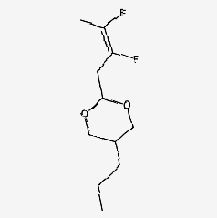 CCCC1COC(C/C(F)=C(\C)F)OC1